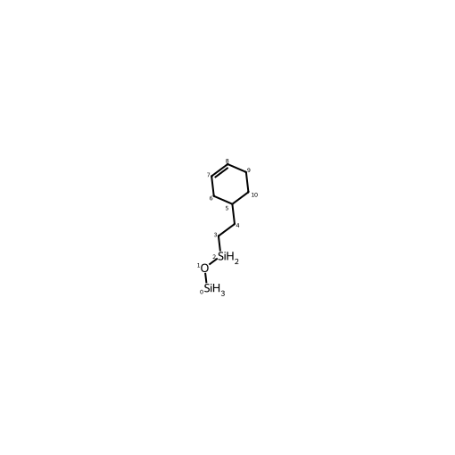 [SiH3]O[SiH2]CCC1CC=CCC1